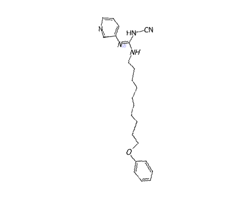 N#CN/C(=N\c1cccnc1)NCCCCCCCCCCOc1ccccc1